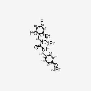 CC[C@H](C(C)C)N(Cc1ccc(F)cc1F)C(=O)NCc1ccc(OC(C)C)cc1